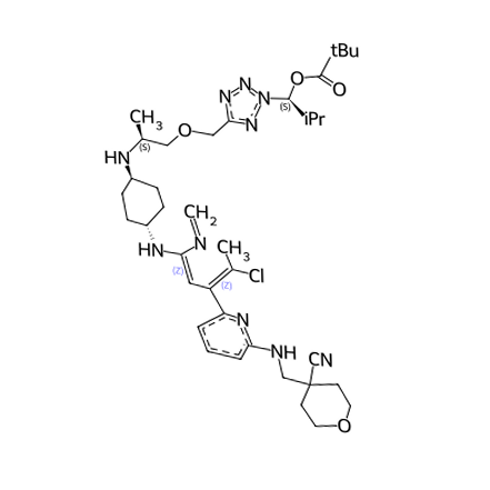 C=N/C(=C\C(=C(/C)Cl)c1cccc(NCC2(C#N)CCOCC2)n1)N[C@H]1CC[C@H](N[C@@H](C)COCc2nnn([C@@H](OC(=O)C(C)(C)C)C(C)C)n2)CC1